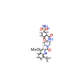 COc1cc(C(=O)N2CCC3(CC2)NC(=O)c2cc(S(N)(=O)=O)ccc2O3)nc2c(C3CC3)cccc12